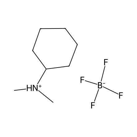 C[NH+](C)C1CCCCC1.F[B-](F)(F)F